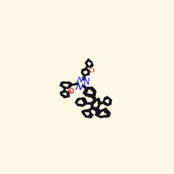 c1ccc(-c2cc(-c3ccc(-c4nc(-c5ccc6c(c5)oc5ccccc56)nc(-c5cccc6c5oc5ccccc56)n4)cc3)c(-c3ccccc3)c(-c3ccccc3)c2-c2ccccc2)cc1